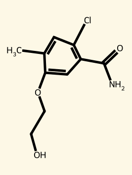 Cc1cc(Cl)c(C(N)=O)cc1OCCO